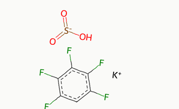 Fc1cc(F)c(F)c(F)c1F.O=[S-](=O)O.[K+]